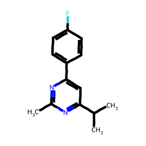 Cc1nc(-c2ccc(F)cc2)cc(C(C)C)n1